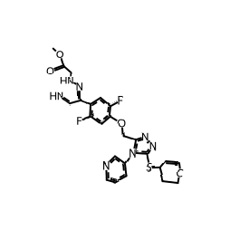 COC(=O)CN/N=C(\C=N)c1cc(F)c(OCc2nnc(SC3C=CCCC3)n2-c2cccnc2)cc1F